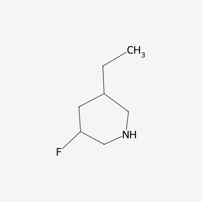 CCC1CNCC(F)C1